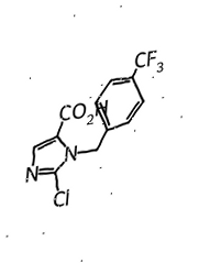 O=C(O)c1cnc(Cl)n1Cc1ccc(C(F)(F)F)cc1